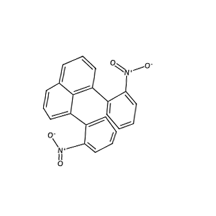 O=[N+]([O-])c1ccccc1-c1cccc2cccc(-c3ccccc3[N+](=O)[O-])c12